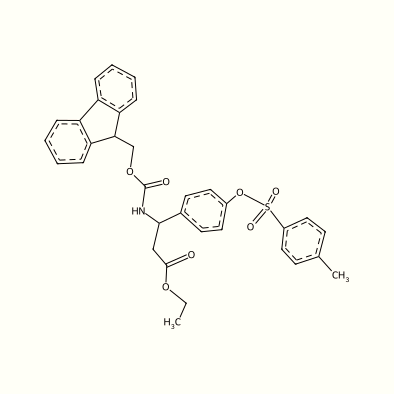 CCOC(=O)CC(NC(=O)OCC1c2ccccc2-c2ccccc21)c1ccc(OS(=O)(=O)c2ccc(C)cc2)cc1